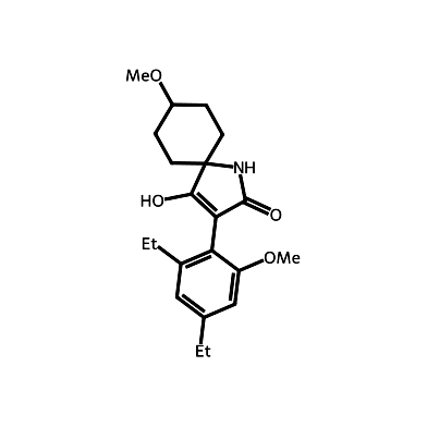 CCc1cc(CC)c(C2=C(O)C3(CCC(OC)CC3)NC2=O)c(OC)c1